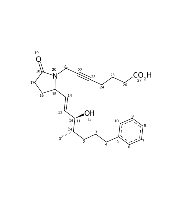 C[C@@H](CCCc1ccccc1)[C@H](O)C=CC1CCC(=O)N1CC#CCCCC(=O)O